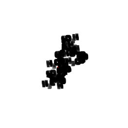 Cc1cc(C(=O)NCCC[N+](C)(CCCNC(=O)CCCC(=O)ON2C(=O)CCC2=O)CCCS(=O)(=O)O)cc(C)c1OC(=O)c1c2ccccc2[n+](CCCS(=O)(=O)NCC[N+](C)(C)CCCS(=O)(=O)O)c2ccccc12